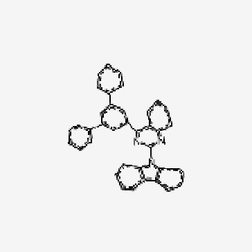 c1ccc(-c2cc(-c3ccccc3)cc(-c3nc(-n4c5ccccc5c5ccccc54)nc4ccccc34)c2)cc1